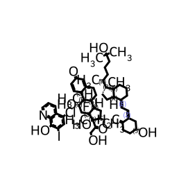 C=C1CC[C@H](O)C/C1=C/C=C1\CCC[C@]2(C)[C@@H]([C@H](C)CCCC(C)(C)O)CC[C@@H]12.C[C@H]1C[C@H]2[C@@H]3CCC4=CC(=O)C=C[C@]4(C)[C@@]3(F)[C@@H](O)C[C@]2(C)[C@@]1(O)C(=O)CO.Oc1c(I)cc(Cl)c2cccnc12